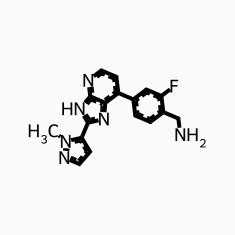 Cn1nccc1-c1nc2c(-c3ccc(CN)c(F)c3)ccnc2[nH]1